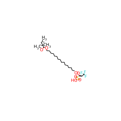 CCC(C)(C)C(=O)OCCCCCCCCCCCCCCCCOO/C(=C\C(F)(F)F)S(=O)(=O)O